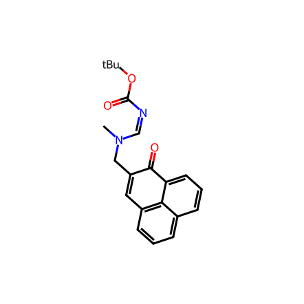 CN(/C=N\C(=O)OC(C)(C)C)CC1=Cc2cccc3cccc(c23)C1=O